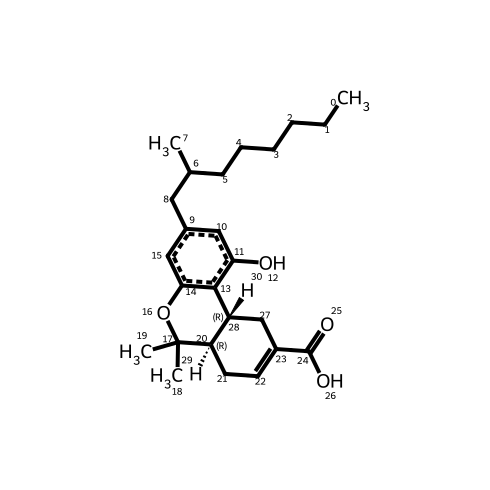 CCCCCCC(C)Cc1cc(O)c2c(c1)OC(C)(C)[C@@H]1CC=C(C(=O)O)C[C@@H]21